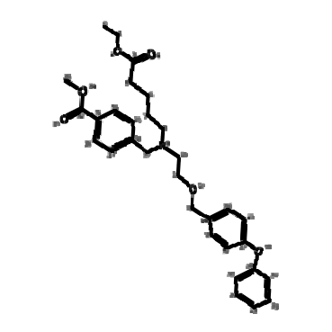 CCOC(=O)CCCCN(CCOCc1ccc(Oc2ccccc2)cc1)Cc1ccc(C(=O)OC)cc1